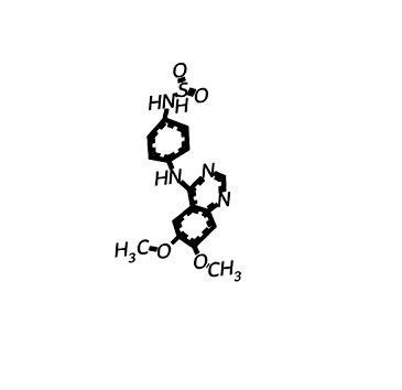 COc1cc2ncnc(Nc3ccc(N[SH](=O)=O)cc3)c2cc1OC